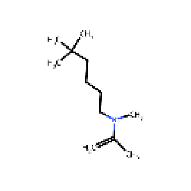 C=C(C)N(C)CCCCC(C)(C)C